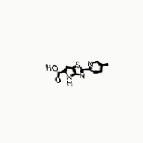 Cc1ccc(-c2nc3[nH]c(C(=O)O)cc3s2)nc1